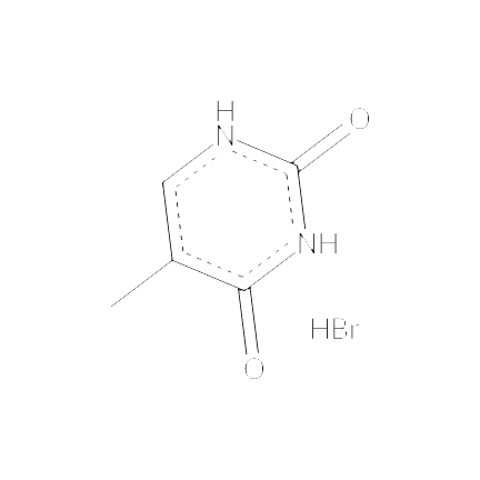 Br.Cc1c[nH]c(=O)[nH]c1=O